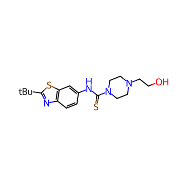 CC(C)(C)c1nc2ccc(NC(=S)N3CCN(CCO)CC3)cc2s1